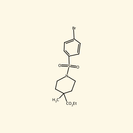 CCOC(=O)C1(C)CCN(S(=O)(=O)c2ccc(Br)cc2)CC1